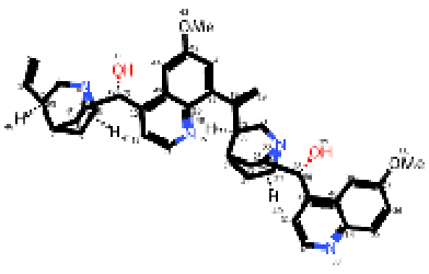 C=C[C@H]1CN2CCC1C[C@@H]2[C@H](O)c1ccnc2c(C(=C)[C@H]3CN4CCC3C[C@@H]4[C@H](O)c3ccnc4ccc(OC)cc34)cc(OC)cc12